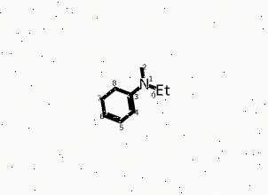 CCN(C)C1=CC=CCC1